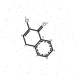 O=C1C(Cl)=CCc2ccccc21